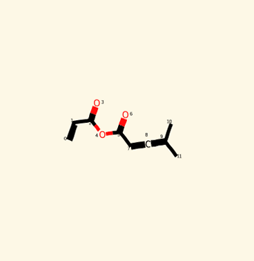 C=CC(=O)OC(=O)C=C=C(C)C